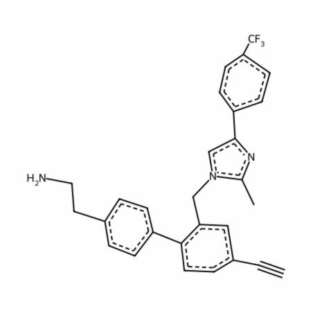 C#Cc1ccc(-c2ccc(CCN)cc2)c(Cn2cc(-c3ccc(C(F)(F)F)cc3)nc2C)c1